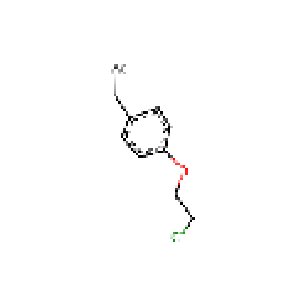 CC(=O)Cc1ccc(OCCCl)cc1